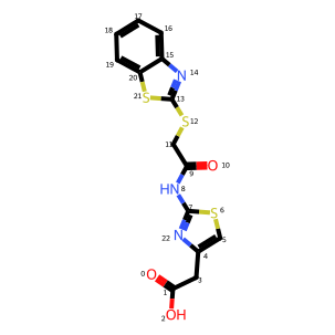 O=C(O)Cc1csc(NC(=O)CSc2nc3ccccc3s2)n1